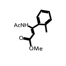 COC(=O)C=C(NC(C)=O)c1ccccc1C